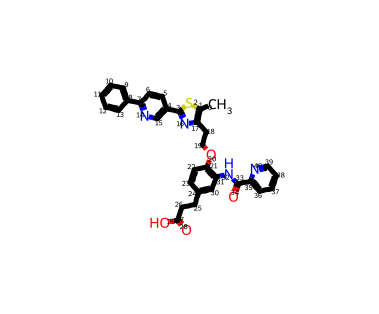 Cc1sc(-c2ccc(-c3ccccc3)nc2)nc1CCOc1ccc(CCC(=O)O)cc1NC(=O)c1ccccn1